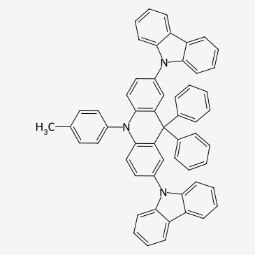 Cc1ccc(N2c3ccc(-n4c5ccccc5c5ccccc54)cc3C(c3ccccc3)(c3ccccc3)c3cc(-n4c5ccccc5c5ccccc54)ccc32)cc1